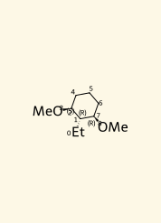 CC[C@@H]1[C@@H](OC)CCC[C@H]1OC